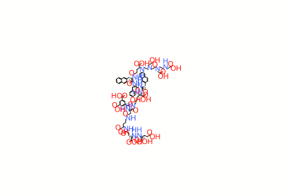 O=C(O)CC[C@H](NC(=O)N[C@@H](CCC(=O)NC(CCCNC(=O)C[C@@H](NC(=O)c1cc(C(=O)O)cc(C(=O)O)c1)C(=O)NCCCC[C@@H](NC(=O)[C@@H](Cc1ccc2ccccc2c1)NC(=O)[C@@H](Cc1ccc(O)cc1)NC(=O)[C@H](Cc1ccc2ccccc2c1)NC(=O)CCC(NCCN(CCN(CCNCC(=O)O)CC(=O)O)CC(=O)O)C(=O)O)C(=O)O)C(=O)O)C(=O)O)C(=O)O